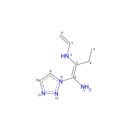 C=CN/C(CC)=C(/N)n1ccnn1